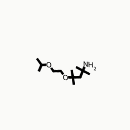 CC(C)OCCOC(C)(C)CC(C)(C)N